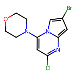 Clc1cc(N2CCOCC2)n2cc(Br)cc2n1